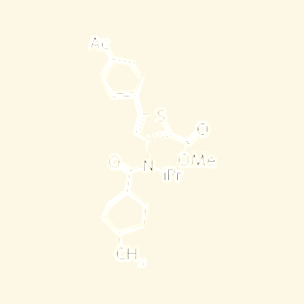 COC(=O)c1sc(-c2ccc(C(C)=O)cc2)cc1N(C(=O)C1CCC(C)CC1)C(C)C